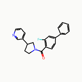 O=C(c1ccc(-c2ccccc2)cc1F)N1CCC(c2cccnc2)C1